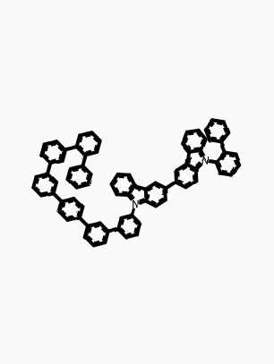 c1ccc(-c2ccccc2-c2cccc(-c3cccc(-c4ccc(-c5cccc(-c6cccc(-n7c8ccccc8c8cc(-c9ccc%10c(c9)c9ccccc9n%10-c9ccccc9-c9ccccc9)ccc87)c6)c5)cc4)c3)c2)cc1